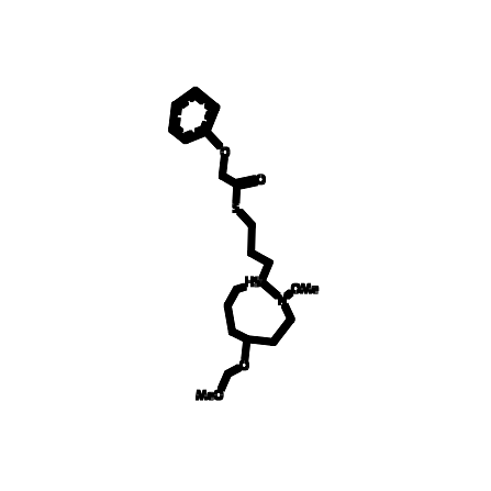 COCOC1CCC[SiH](CCCSC(=O)COc2ccccc2)N(OC)CC1